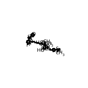 Cc1ncsc1-c1ccc(CCNC(=O)[C@@H]2C[C@H](O)CN2C(=O)[C@@H](NC(=O)CCCCCCCOc2c(-c3csc(N4CCOCC4)n3)ccc(F)c2F)C(C)(C)C)cc1